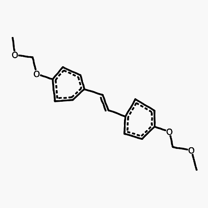 COCOc1ccc(C=Cc2ccc(OCOC)cc2)cc1